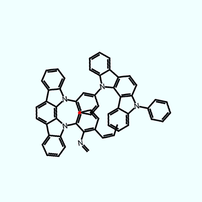 C=Nc1c(/C=C\C)cccc1-n1c2ccccc2c2ccc3c4ccccc4n(-c4cccc(-n5c6ccccc6c6ccc7c(c8ccccc8n7-c7ccccc7)c65)c4)c3c21